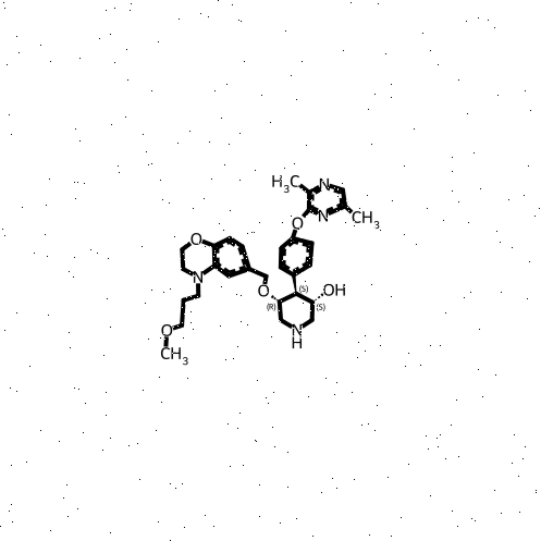 COCCCN1CCOc2ccc(CO[C@H]3CNC[C@@H](O)[C@@H]3c3ccc(Oc4nc(C)cnc4C)cc3)cc21